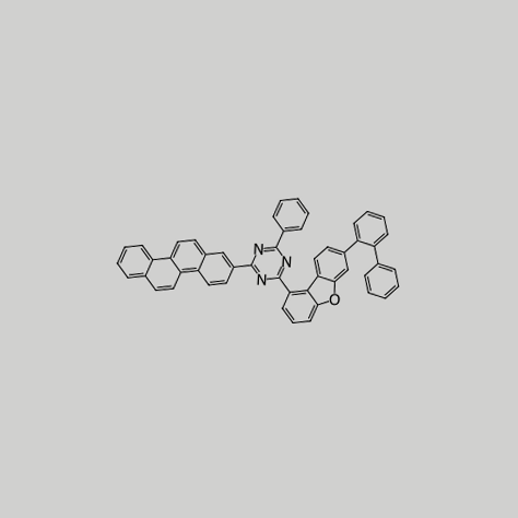 c1ccc(-c2nc(-c3ccc4c(ccc5c6ccccc6ccc45)c3)nc(-c3cccc4oc5cc(-c6ccccc6-c6ccccc6)ccc5c34)n2)cc1